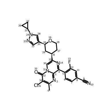 Cc1nc2c(-c3ccc(C#N)cc3F)nc([C@@H]3CCO[C@H](c4cnn(C5CC5)c4)C3)cn2c(=O)c1Cl